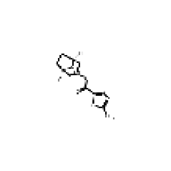 Cc1nnc(C(=O)O[C@H]2C[C@H]3CC[C@@H](C2)N3C)o1